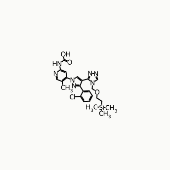 Cc1cnc(NC(=O)O)cc1-n1cc(-c2nncn2COCC[Si](C)(C)C)c(-c2ccccc2Cl)n1